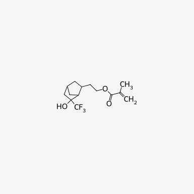 C=C(C)C(=O)OCCC1CC2CC1C(O)(C(F)(F)F)C2